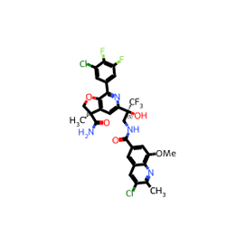 COc1cc(C(=O)NC[C@](O)(c2cc3c(c(-c4cc(F)c(F)c(Cl)c4)n2)OC[C@]3(C)C(N)=O)C(F)(F)F)cc2cc(Cl)c(C)nc12